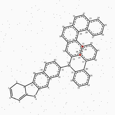 C1=CCC2C(=C1)Sc1cc3cc(N(c4ccc5c(ccc6ccc7ccccc7c65)c4)c4ccccc4-c4ccccc4)ccc3cc12